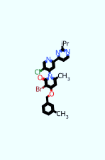 Cc1cccc(COc2cc(C)n(-c3cc(-c4ccnc(C(C)C)n4)ncc3Cl)c(=O)c2Br)c1